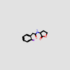 O=C(Cc1ccccc1I)NC1CCOC1=O